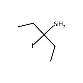 CCC([SiH3])(I)CC